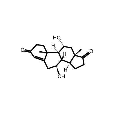 C[C@]12CCC(=O)C=C1C[C@H](O)[C@@H]1[C@@H]2[C@H](O)C[C@]2(C)C(=O)CC[C@@H]12